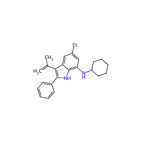 C=C(C)c1c(-c2ccccc2)[nH]c2c(NC3CCCCC3)cc(CC)cc12